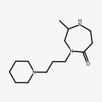 CC1CN(CCCN2CCCCC2)C(=O)CCN1